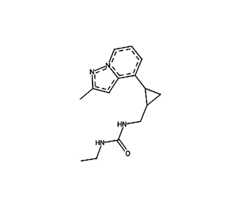 CCNC(=O)NCC1CC1c1cccn2nc(C)cc12